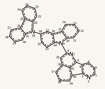 c1cnc2c(c1)-c1nc(-n3c4ccccc4c4cc(-n5c6ccccc6c6ccccc65)ccc43)cc3cccc-2c13